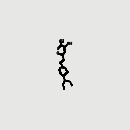 CCN(CC)c1ccc(/C=C/C(=O)/C=C(/O)C(=O)O)cc1